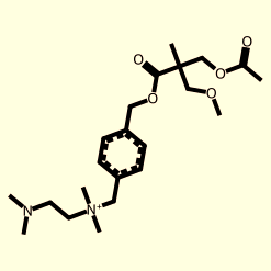 COCC(C)(COC(C)=O)C(=O)OCc1ccc(C[N+](C)(C)CCN(C)C)cc1